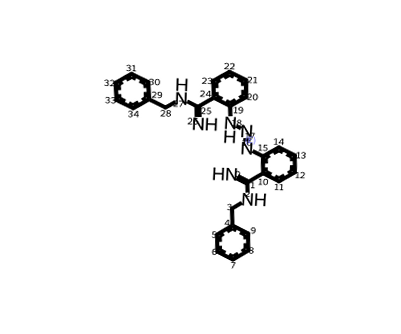 N=C(NCc1ccccc1)c1ccccc1/N=N/Nc1ccccc1C(=N)NCc1ccccc1